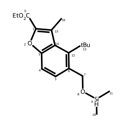 CCOC(=O)c1oc2ccc(CO[SiH](C)C)c(C(C)(C)C)c2c1C